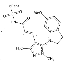 CCCCCS(=O)(=O)NC(=O)/C=C/c1c(C)nn(C)c1N1CCc2ccc(OC)cc21